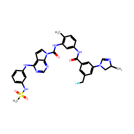 Cc1ccc(NC(=O)c2cc(CF)cc(N3C=NC(C)C3)c2)cc1NC(=O)n1ccc2c(Nc3cccc(NS(C)(=O)=O)c3)ncnc21